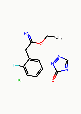 CCOC(=N)Cc1ccccc1F.Cl.O=C1N=CN=N1